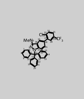 CNc1nn(C(c2ccccc2)(c2ccccc2)c2ccccc2)c2ccc(-c3cc(C(F)(F)F)ccc3Cl)cc12